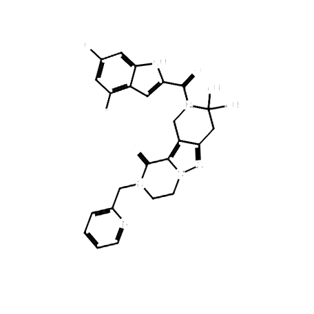 CC1(C)Cc2nn3c(c2CN1C(=O)c1cc2c(Cl)cc(F)cc2[nH]1)C(=O)N(Cc1ccccn1)CC3